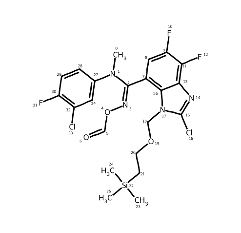 CN(/C(=N\OC=O)c1cc(F)c(F)c2nc(Cl)n(COCC[Si](C)(C)C)c12)c1ccc(F)c(Cl)c1